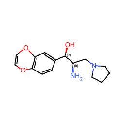 N[C@H](CN1CCCC1)[C@H](O)c1ccc2c(c1)OC=CO2